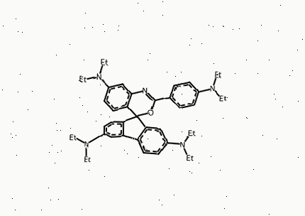 CCN(CC)c1ccc(C2=Nc3cc(N(CC)CC)ccc3C3(O2)c2ccc(N(CC)CC)cc2-c2ccc(N(CC)CC)cc23)cc1